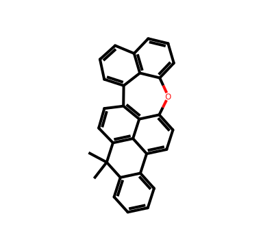 CC1(C)c2ccccc2-c2ccc3oc4cccc5cccc(c6ccc1c2c36)c54